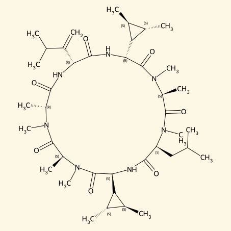 C=C(C(C)C)[C@H]1NC(=O)[C@@H](C)N(C)C(=O)[C@H](C)N(C)C(=O)[C@H](C2[C@@H](C)[C@@H]2C)NC(=O)[C@H](CC(C)C)N(C)C(=O)[C@H](C)N(C)C(=O)[C@@H](C2[C@@H](C)[C@@H]2C)NC1=O